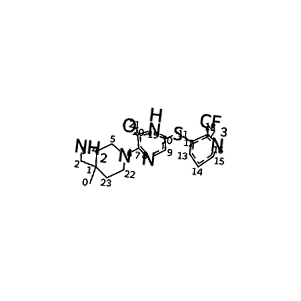 CC1(CN)CCN(c2ncc(Sc3cccnc3C(F)(F)F)[nH]c2=O)CC1